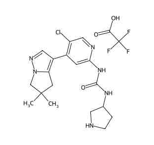 CC1(C)Cc2c(-c3cc(NC(=O)NC4CCNC4)ncc3Cl)cnn2C1.O=C(O)C(F)(F)F